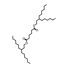 CCCCCCC(CCCCCC)CCOC(=O)CCCCC(=O)OCCC(CCCCCC)CCCCCC